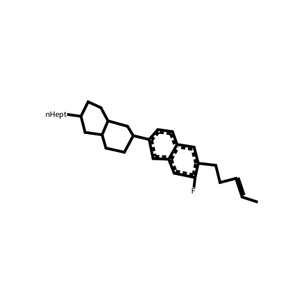 CC=CCCc1cc2ccc(C3CCC4CC(CCCCCCC)CCC4C3)cc2cc1F